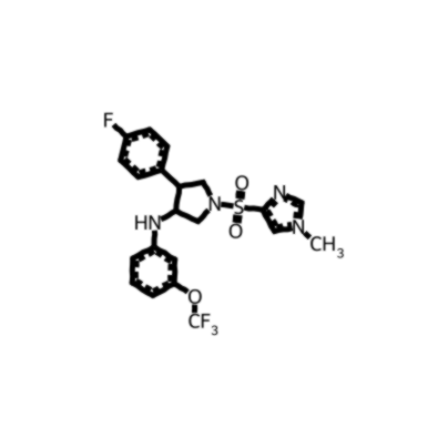 Cn1cnc(S(=O)(=O)N2CC(Nc3cccc(OC(F)(F)F)c3)C(c3ccc(F)cc3)C2)c1